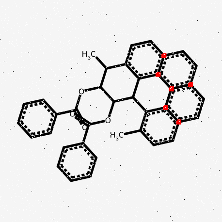 Cc1cccc(-c2ccccc2)c1C1c2c(-c3ccccc3)cccc2C(C)C(OC(=O)c2ccccc2)C1OC(=O)c1ccccc1